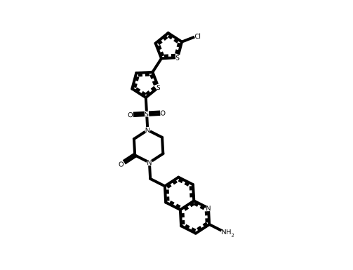 Nc1ccc2cc(CN3CCN(S(=O)(=O)c4ccc(-c5ccc(Cl)s5)s4)CC3=O)ccc2n1